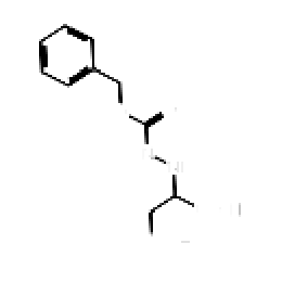 O=C(O)CC(NNC(=O)OCc1ccccc1)C(=O)O